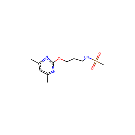 Cc1[c]c(C)nc(OCCCNS(C)(=O)=O)n1